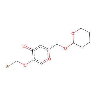 O=c1cc(COC2CCCCO2)occ1OCBr